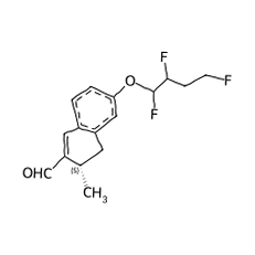 C[C@H]1Cc2cc(OC(F)C(F)CCF)ccc2C=C1C=O